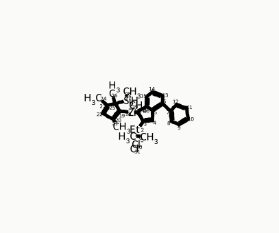 CC.CCC1=Cc2c(-c3ccccc3)cccc2[CH]1[Zr+2][C]1=C(C)C=C(C)C1(C)[SiH](C)C.[Cl-].[Cl-]